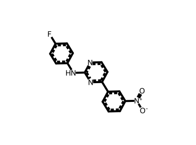 O=[N+]([O-])c1cccc(-c2ccnc(Nc3ccc(F)cc3)n2)c1